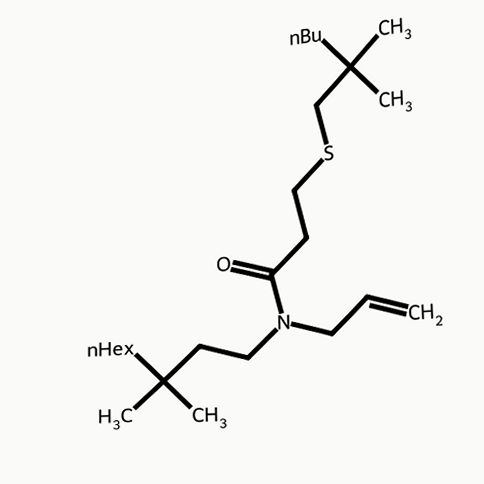 C=CCN(CCC(C)(C)CCCCCC)C(=O)CCSCC(C)(C)CCCC